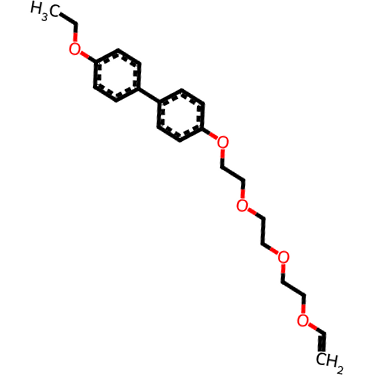 C=COCCOCCOCCOc1ccc(-c2ccc(OCC)cc2)cc1